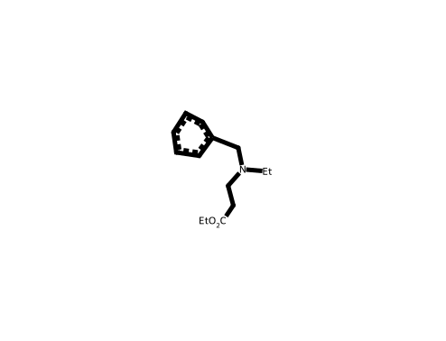 CCOC(=O)CCN(CC)Cc1ccccc1